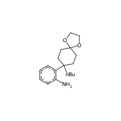 CCCCC1(c2ccccc2N)CCC2(CC1)OCCO2